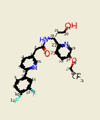 O=C(Cc1ccc(-c2ccc(F)c(F)c2)nc1)N[C@H](CCO)c1ccc(OCC(F)(F)F)cn1